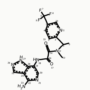 CC(c1ccc(C(F)(F)F)cn1)N(C)C(=O)C(=O)Nc1cnc(N)c2cn[nH]c12